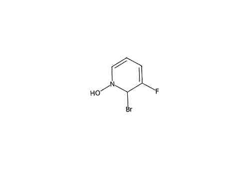 ON1C=CC=C(F)C1Br